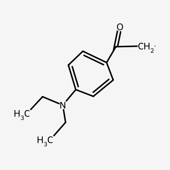 [CH2]C(=O)c1ccc(N(CC)CC)cc1